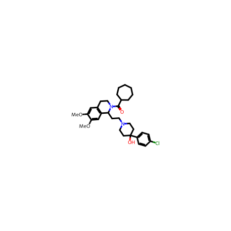 COc1cc2c(cc1OC)C(CCN1CCC(O)(c3ccc(Cl)cc3)CC1)N(C(=O)C1CCCCCC1)CC2